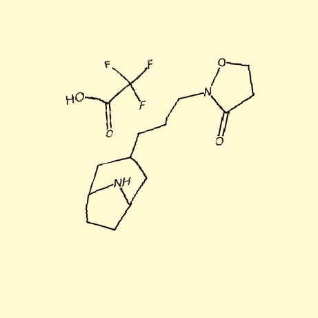 O=C(O)C(F)(F)F.O=C1CCON1CCCC1CC2CCC(C1)N2